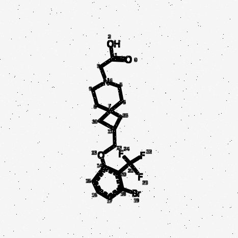 O=C(O)CN1CCC2(CC1)CC(COc1cccc(Br)c1C(F)(F)F)C2